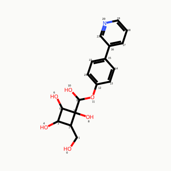 OCC1C(O)C(O)C1(O)C(O)Oc1ccc(-c2cccnc2)cc1